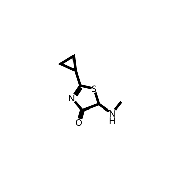 CNC1SC(C2CC2)=NC1=O